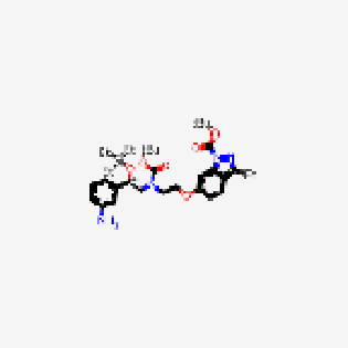 CCc1nn(C(=O)OC(C)(C)C)c2cc(OCCN(C[C@H](O[Si](CC)(CC)CC)c3cccc(N)c3)C(=O)OC(C)(C)C)ccc12